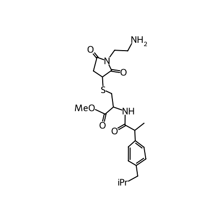 COC(=O)C(CSC1CC(=O)N(CCN)C1=O)NC(=O)C(C)c1ccc(CC(C)C)cc1